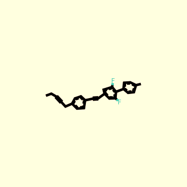 CCC#CCc1ccc(C#Cc2cc(F)c(-c3ccc(C)cc3)c(F)c2)cc1